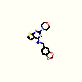 c1cc2c(NCc3ccc4c(c3)OCO4)nc(N3CCOCC3)nc2s1